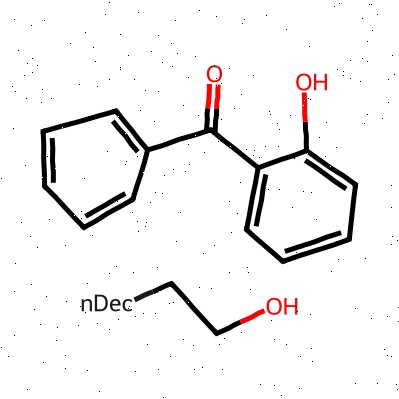 CCCCCCCCCCCCO.O=C(c1ccccc1)c1ccccc1O